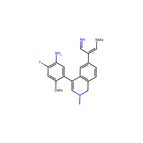 CN/C=C(\C=N)c1ccc2c(c1)C(c1cc(N)c(F)cc1OC)=CN(C)C2